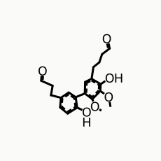 COc1c(-c2cc(CCC=O)ccc2O)cc(CCCC=O)c(O)c1OC